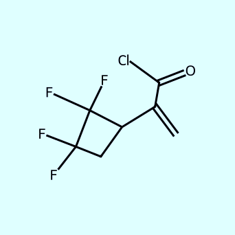 C=C(C(=O)Cl)C1CC(F)(F)C1(F)F